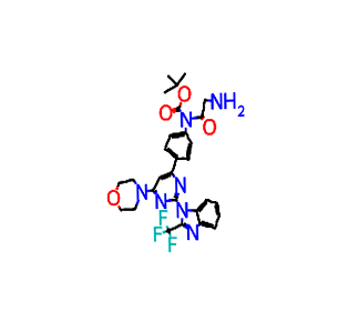 CC(C)(C)OC(=O)N(C(=O)CN)c1ccc(-c2cc(N3CCOCC3)nc(-n3c(C(F)(F)F)nc4ccccc43)n2)cc1